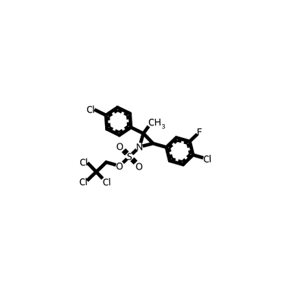 CC1(c2ccc(Cl)cc2)C(c2ccc(Cl)c(F)c2)N1S(=O)(=O)OCC(Cl)(Cl)Cl